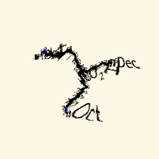 CCCCCCCC/C=C\CCCCCCCCCCCCC(CCCCCCCCCC/C=C\CCCCCCCC)(CCCCCCCCCCCCCCCC)C(=O)O